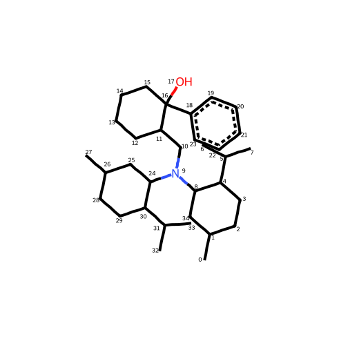 CC1CCC(C(C)C)C(N(CC2CCCCC2(O)c2ccccc2)C2CC(C)CCC2C(C)C)C1